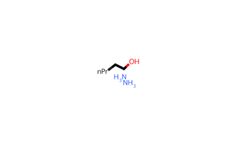 CCCCCO.N.N